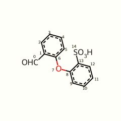 O=Cc1ccccc1Oc1ccccc1S(=O)(=O)O